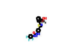 CC1C2(C(=O)O)CC3CC(C2)CC1(c1ncc(-c2ccc(NC(=O)Nc4ccc(F)c(F)c4F)cc2)s1)C3